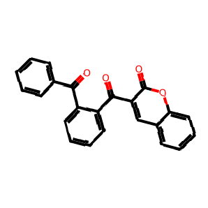 O=C(c1ccccc1)c1ccccc1C(=O)c1cc2ccccc2oc1=O